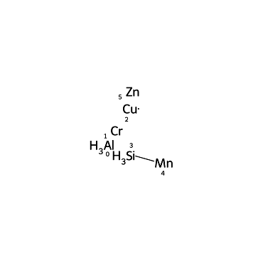 [AlH3].[Cr].[Cu].[SiH3][Mn].[Zn]